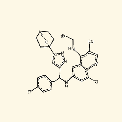 CC(C)(C)CNc1c(C#N)cnc2c(Cl)cc(NC(c3ccc(Cl)cc3)c3cn(C45CCN(CC4)CC5)nn3)cc12